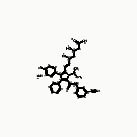 CC(C)n1c(C=C[C@@H](O)C[C@@H](O)CC(=O)O)c(-c2ccc(F)cc2)c(-c2ccccc2)c1C(=O)Nc1cccc(C#N)c1.[NaH]